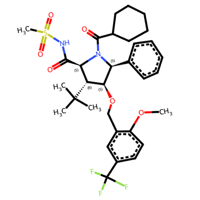 COc1ccc(C(F)(F)F)cc1CO[C@H]1[C@H](C(C)(C)C)[C@@H](C(=O)NS(C)(=O)=O)N(C(=O)C2CCCCC2)[C@H]1c1ccccc1